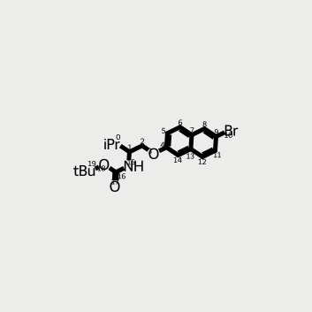 CC(C)C(COc1ccc2cc(Br)ccc2c1)NC(=O)OC(C)(C)C